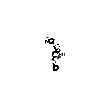 C[C@@H](OCc1ccccc1)C1C=Cc2c(cn(C)c2C(=O)Nc2ccc(F)c(F)c2)S(=N)(=O)N1